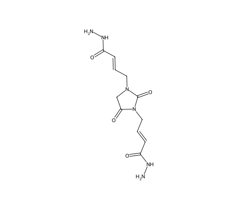 NNC(=O)C=CCN1CC(=O)N(CC=CC(=O)NN)C1=O